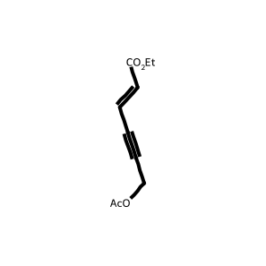 CCOC(=O)C=CC#CCOC(C)=O